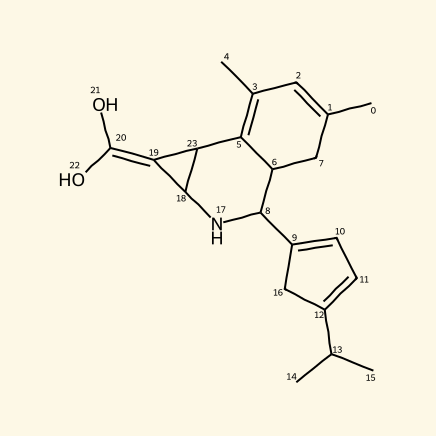 CC1=CC(C)=C2C(C1)C(C1=CC=C(C(C)C)C1)NC1C(=C(O)O)C21